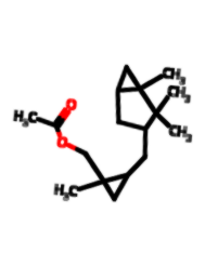 CC(=O)OCC1(C)CC1CC1CC2CC2(C)C1(C)C